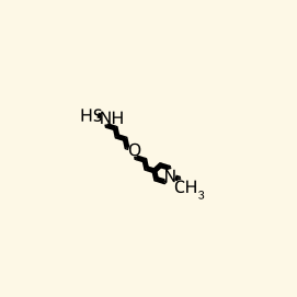 CCN1CCC(CCCOCCCCCNS)CC1